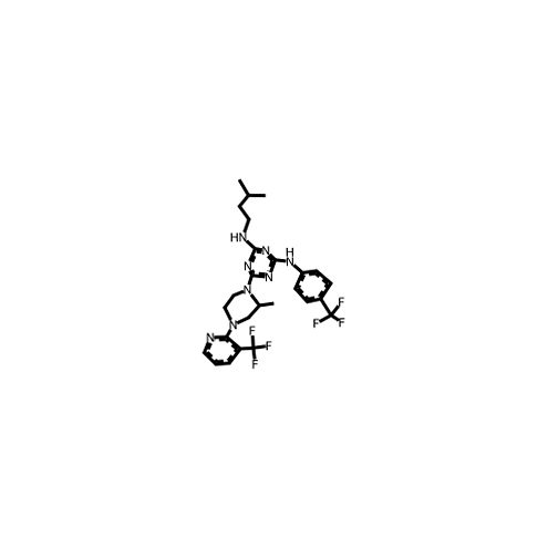 CC(C)CCNc1nc(Nc2ccc(C(F)(F)F)cc2)nc(N2CCN(c3ncccc3C(F)(F)F)CC2C)n1